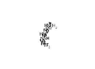 CC1(NC(=O)O[C@H]2CC[C@@H](c3cc(Nc4nccc5nc(C(F)(F)F)cn45)n[nH]3)[C@@H]2F)CC1